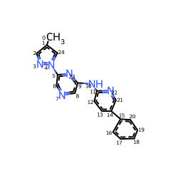 Cc1cnn(-c2cncc(Nc3ccc(-c4ccccc4)cn3)n2)c1